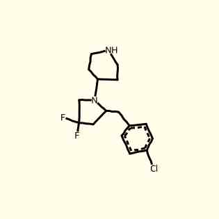 FC1(F)CC(Cc2ccc(Cl)cc2)N(C2CCNCC2)C1